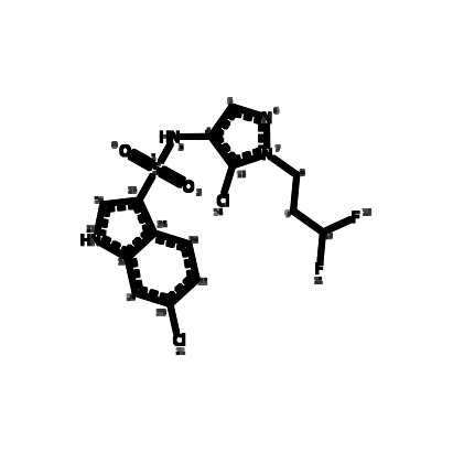 O=S(=O)(Nc1cnn(CCC(F)F)c1Cl)c1c[nH]c2cc(Cl)ccc12